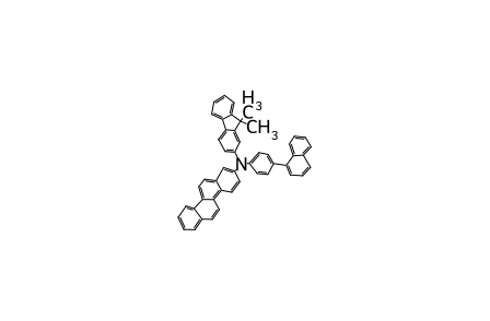 CC1(C)c2ccccc2-c2ccc(N(c3ccc(-c4cccc5ccccc45)cc3)c3ccc4c(ccc5c6ccccc6ccc45)c3)cc21